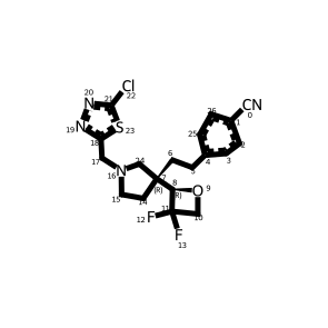 N#Cc1ccc(CC[C@@]2([C@H]3OCC3(F)F)CCN(Cc3nnc(Cl)s3)C2)cc1